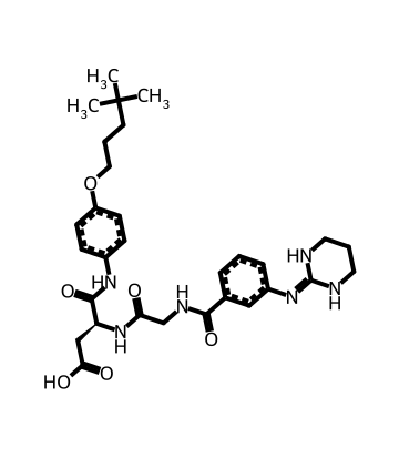 CC(C)(C)CCCOc1ccc(NC(=O)[C@H](CC(=O)O)NC(=O)CNC(=O)c2cccc(N=C3NCCCN3)c2)cc1